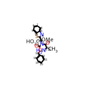 COC(C(=O)O)(c1nc2ccccc2s1)N(C(=O)OCc1ccccc1)C(=O)[C@H](C)N